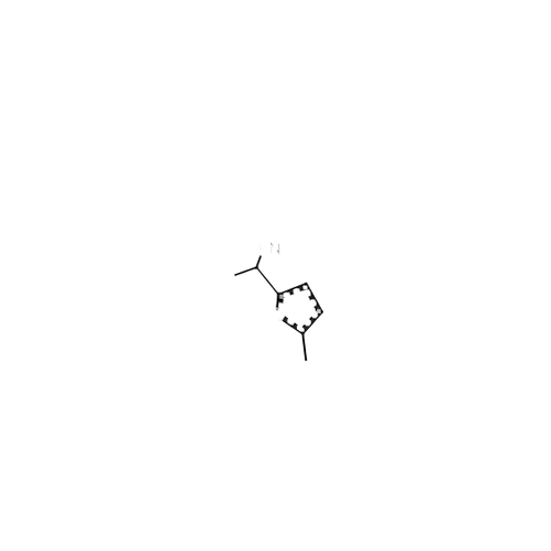 Cc1ccc(C(C)C#N)s1